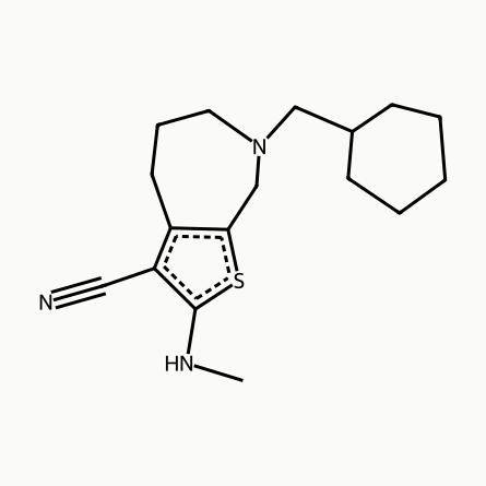 CNc1sc2c(c1C#N)CCCN(CC1CCCCC1)C2